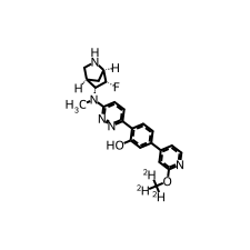 [2H]C([2H])([2H])Oc1cc(-c2ccc(-c3ccc(N(C)[C@@H]4[C@H]5CN[C@H](C5)[C@@H]4F)nn3)c(O)c2)ccn1